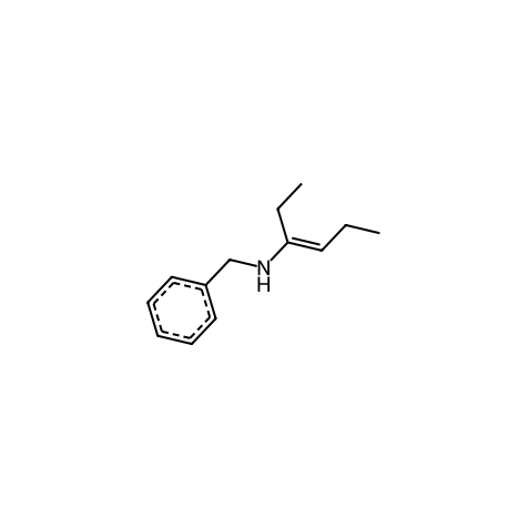 CC/C=C(\CC)NCc1ccccc1